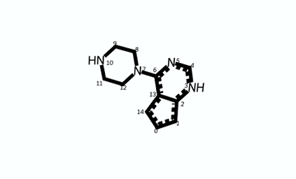 c1cc2[nH]cnc(N3CCNCC3)c-2c1